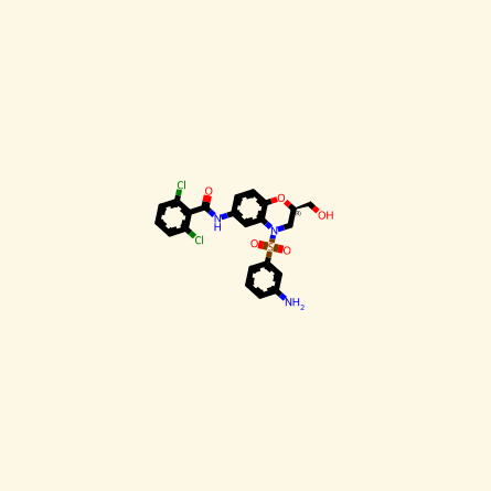 Nc1cccc(S(=O)(=O)N2C[C@H](CO)Oc3ccc(NC(=O)c4c(Cl)cccc4Cl)cc32)c1